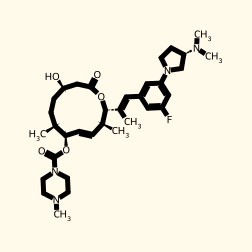 C/C(=C\c1cc(F)cc(N2CC[C@H](N(C)C)C2)c1)[C@H]1OC(=O)C[C@H](O)CC[C@H](C)[C@H](OC(=O)N2CCN(C)CC2)/C=C/[C@@H]1C